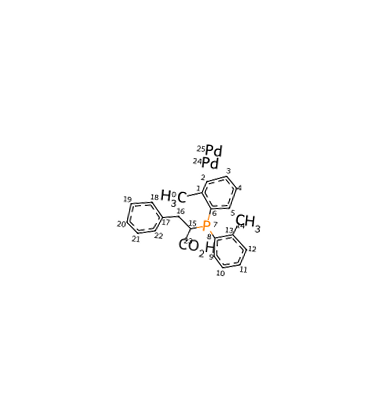 Cc1ccccc1P(c1ccccc1C)C(Cc1ccccc1)C(=O)O.[Pd].[Pd]